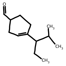 CCC(C1=CCC(C=O)CC1)C(C)C